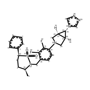 C[C@H]1CC[C@@H](c2ccccc2)S(=O)(=O)N1Cc1ccc(N2C[C@@H]3[C@H](C2)[C@H]3n2cnnc2)c(F)c1F